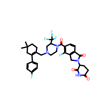 CC1(C)CCC(CN2CCN(C(=O)c3ccc4c(c3F)CN(C3CCC(=O)NC3=O)C4=O)C(C(F)(F)F)C2)=C(c2ccc(F)cc2)C1